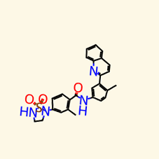 Cc1cc(N2CCNS2(=O)=O)ccc1C(=O)Nc1ccc(C)c(-c2ccc3ccccc3n2)c1